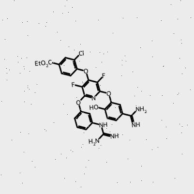 CCOC(=O)c1ccc(Oc2c(F)c(Oc3cccc(NC(=N)N)c3)nc(Oc3cc(C(=N)N)ccc3O)c2F)c(Cl)c1